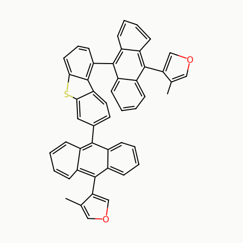 Cc1cocc1-c1c2ccccc2c(-c2ccc3c(c2)sc2cccc(-c4c5ccccc5c(-c5cocc5C)c5ccccc45)c23)c2ccccc12